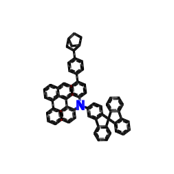 c1ccc(-c2cccc3cccc(-c4ccccc4N(c4ccc(-c5ccc(C6CC7CCC6C7)cc5)cc4)c4ccc5c(c4)-c4ccccc4C54c5ccccc5-c5ccccc54)c23)cc1